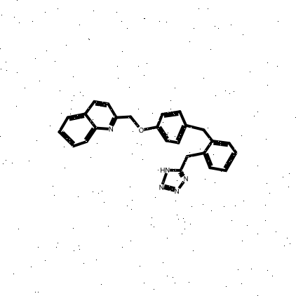 c1ccc(Cc2nnn[nH]2)c(Cc2ccc(OCc3ccc4ccccc4n3)cc2)c1